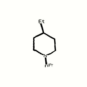 CCCN1CCC(CC)CC1